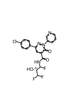 O=C(NC(F)[C@@H](O)C(F)F)c1cc(-c2ccc(Cl)cc2)nn(-c2cccnc2)c1=O